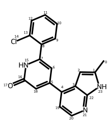 Cc1cc2c(-c3cc(-c4ccccc4Cl)[nH]c(=O)c3)ccnc2[nH]1